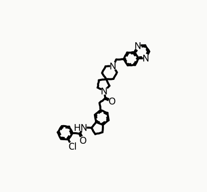 O=C(NC1CCc2ccc(CC(=O)N3CCC4(CCN(Cc5ccc6nccnc6c5)CC4)C3)cc21)c1ccccc1Cl